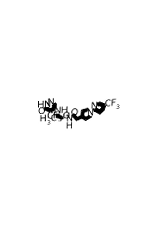 C[C@@H](CONC(=O)CC1CCN(c2ccc(C(F)(F)F)cn2)CC1)Nc1cn[nH]c(=O)c1C(F)(F)F